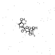 CC1=CCN(S(=O)(=O)CC(C)(C)CO)C1